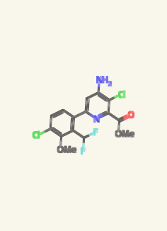 COC(=O)c1nc(-c2ccc(Cl)c(OC)c2C(F)F)cc(N)c1Cl